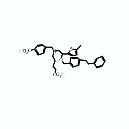 Cc1ccc(C(CN(CCCCC(=O)O)Cc2ccc(C(=O)O)cc2)OCc2ccc(CCc3ccccc3)cc2)s1